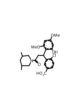 COc1cc(O)c(C(CC(=O)N2CC(C)CC(C)C2)c2cc(C(=O)O)ccc2Cl)c(OC)c1